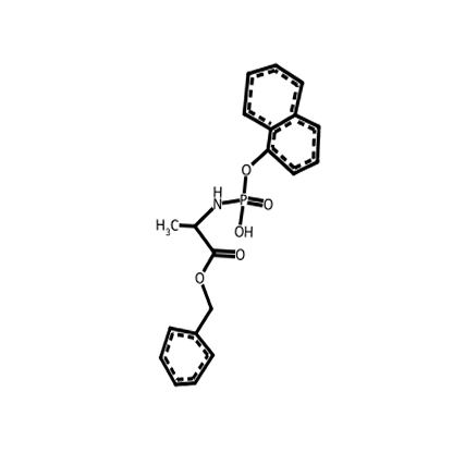 CC(NP(=O)(O)Oc1cccc2ccccc12)C(=O)OCc1ccccc1